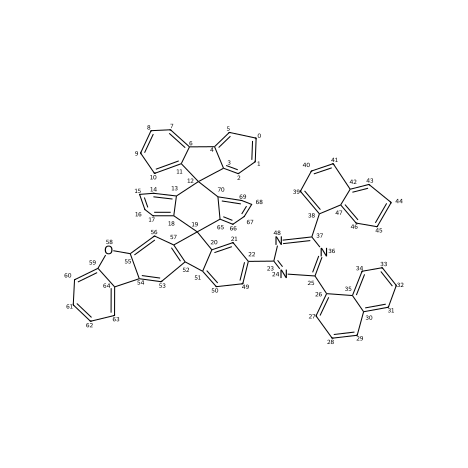 c1ccc2c(c1)-c1ccccc1C21c2ccccc2C2(c3cc(-c4nc(-c5cccc6ccccc56)nc(-c5cccc6ccccc56)n4)ccc3-c3cc4c(cc32)oc2ccccc24)c2ccccc21